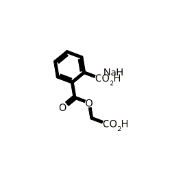 O=C(O)COC(=O)c1ccccc1C(=O)O.[NaH]